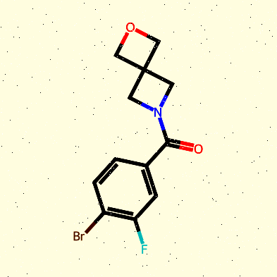 O=C(c1ccc(Br)c(F)c1)N1CC2(COC2)C1